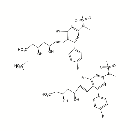 CC(=O)O.CC(C)c1nc(N(C)S(C)(=O)=O)nc(-c2ccc(F)cc2)c1C=C[C@@H](O)C[C@@H](O)CC(=O)O.CC(C)c1nc(N(C)S(C)(=O)=O)nc(-c2ccc(F)cc2)c1C=C[C@@H](O)C[C@@H](O)CC(=O)O.[CaH2]